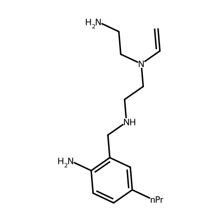 C=CN(CCN)CCNCc1cc(CCC)ccc1N